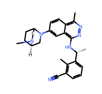 Cc1c(C#N)cccc1[C@@H](C)Nc1nnc(C)c2ccc(N3C[C@H]4CCC3CN4C)cc12